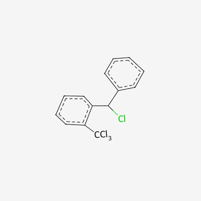 ClC(c1ccccc1)c1ccccc1C(Cl)(Cl)Cl